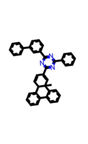 CC12C=C(c3nc(-c4ccccc4)nc(-c4cccc(-c5ccccc5)c4)n3)C=CC1c1ccccc1-c1ccccc12